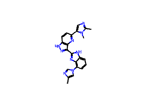 Cc1cn(-c2cccc3[nH]c(-c4n[nH]c5ccc(-c6cnc(C)n6C)nc45)nc23)cn1